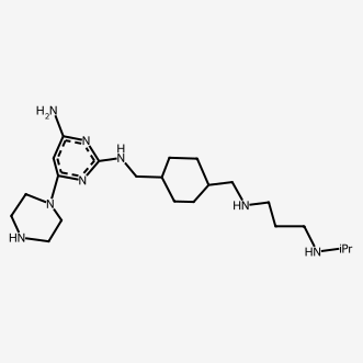 CC(C)NCCCNCC1CCC(CNc2nc(N)cc(N3CCNCC3)n2)CC1